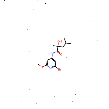 COc1cc(NC(=O)C(C)(O)CC(C)C)cc(Br)n1